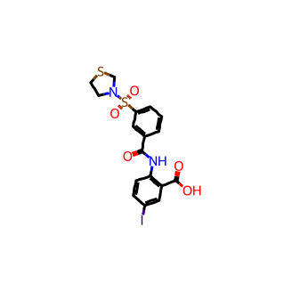 O=C(Nc1ccc(I)cc1C(=O)O)c1cccc(S(=O)(=O)N2CCSC2)c1